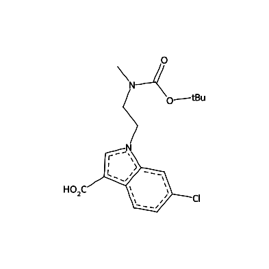 CN(CCn1cc(C(=O)O)c2ccc(Cl)cc21)C(=O)OC(C)(C)C